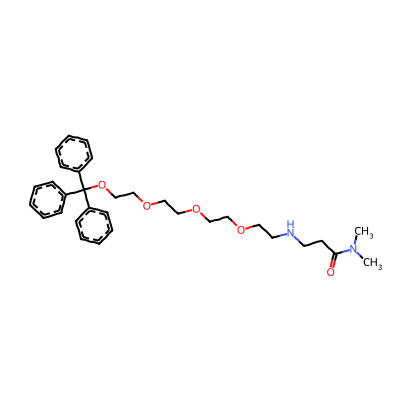 CN(C)C(=O)CCNCCOCCOCCOCCOC(c1ccccc1)(c1ccccc1)c1ccccc1